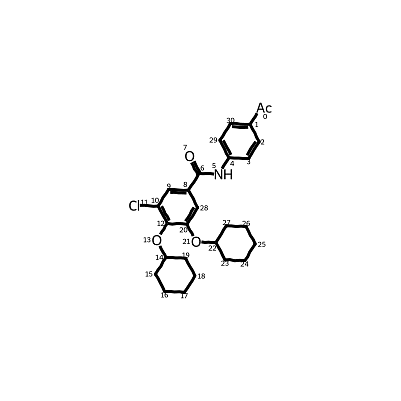 CC(=O)c1ccc(NC(=O)c2cc(Cl)c(OC3CCCCC3)c(OC3CCCCC3)c2)cc1